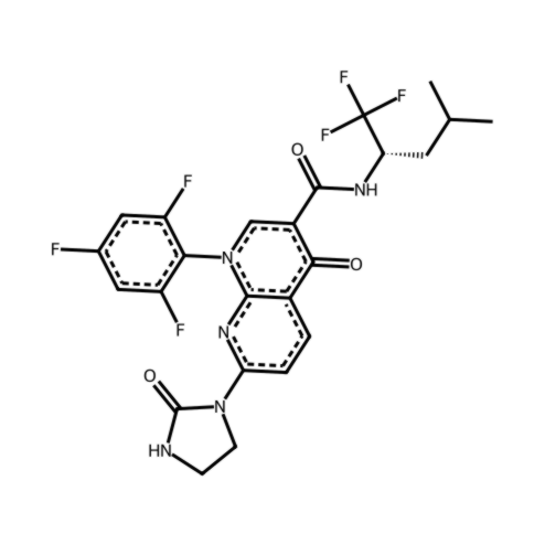 CC(C)C[C@H](NC(=O)c1cn(-c2c(F)cc(F)cc2F)c2nc(N3CCNC3=O)ccc2c1=O)C(F)(F)F